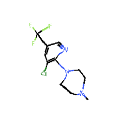 CN1CCN(c2ncc(C(F)(F)F)cc2Cl)CC1